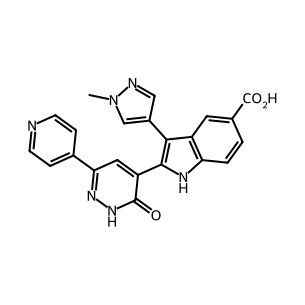 Cn1cc(-c2c(-c3cc(-c4ccncc4)n[nH]c3=O)[nH]c3ccc(C(=O)O)cc23)cn1